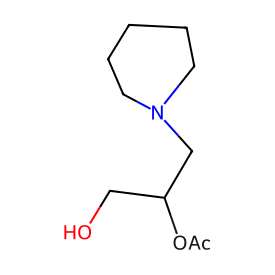 CC(=O)OC(CO)CN1CCCCC1